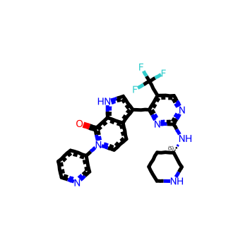 O=c1c2[nH]cc(-c3nc(N[C@H]4CCCNC4)ncc3C(F)(F)F)c2ccn1-c1cccnc1